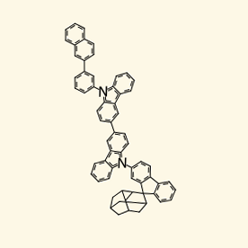 c1cc(-c2ccc3ccccc3c2)cc(-n2c3ccccc3c3cc(-c4ccc5c(c4)c4ccccc4n5-c4ccc5c(c4)C4(c6ccccc6-5)C5CC6CC(C5)C5C(C6)C54)ccc32)c1